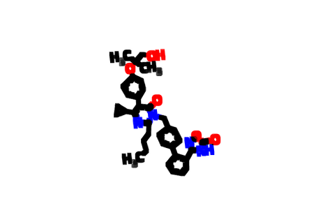 CCCCc1nc(C2CC2)c(-c2ccc(OC(C)(C)CO)cc2)c(=O)n1Cc1ccc(-c2ccccc2-c2noc(=O)[nH]2)cc1